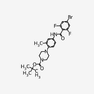 Cc1cc(NC(=O)c2c(F)cc(Br)cc2F)ccc1N1CCN(C(=O)OC(C)(C)C)CC1